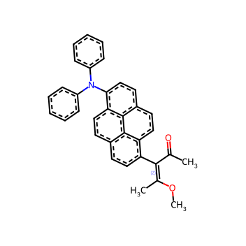 CO/C(C)=C(\C(C)=O)c1ccc2ccc3c(N(c4ccccc4)c4ccccc4)ccc4ccc1c2c43